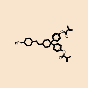 C=C(C)C(=O)Oc1ccc(C2(c3ccc(OC(=O)C(=C)C)cc3)CCC(CCC3CCC(CCC)CC3)CC2)cc1